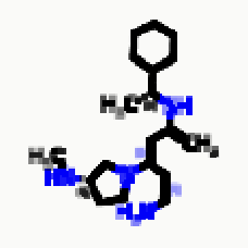 C=C(/C=C(\C=C/N)N1CC[C@H](NC)C1)N[C@H](C)C1CCCCC1